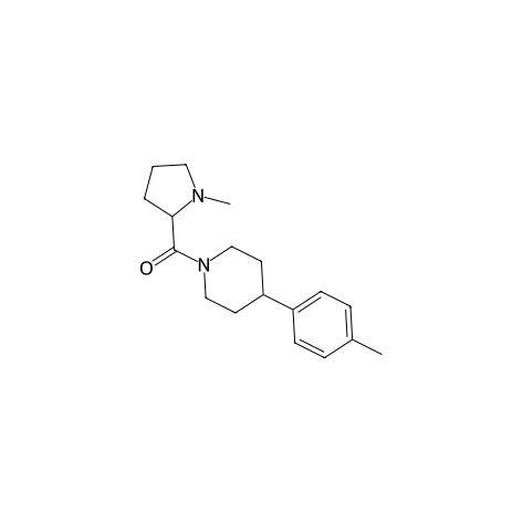 Cc1ccc(C2CCN(C(=O)C3CCCN3C)CC2)cc1